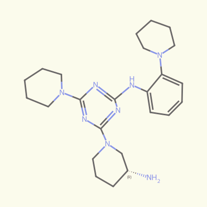 N[C@@H]1CCCN(c2nc(Nc3ccccc3N3CCCCC3)nc(N3CCCCC3)n2)C1